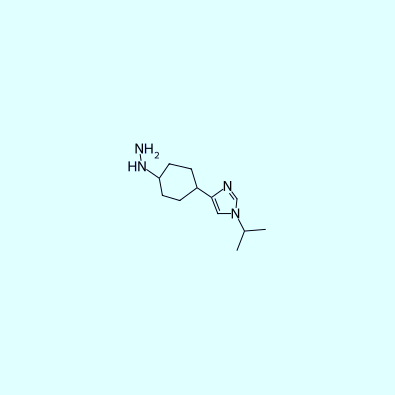 CC(C)n1cnc(C2CCC(NN)CC2)c1